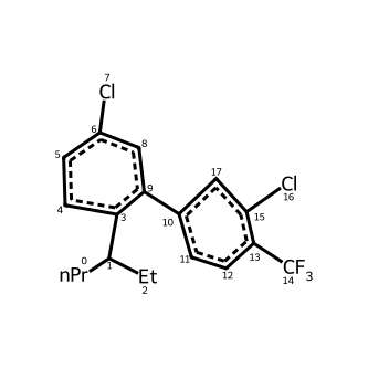 CCCC(CC)c1ccc(Cl)cc1-c1ccc(C(F)(F)F)c(Cl)c1